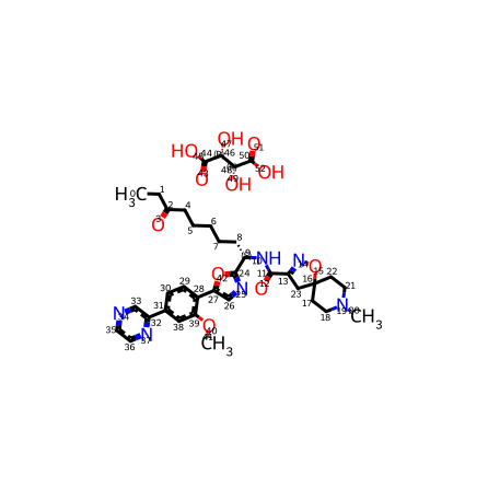 CCC(=O)CCCCC[C@H](NC(=O)C1=NOC2(CCN(C)CC2)C1)c1ncc(-c2ccc(-c3cnccn3)cc2OC)o1.O=C(O)[C@H](O)[C@@H](O)C(=O)O